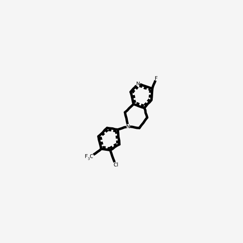 Fc1cc2c(cn1)CN(c1ccc(C(F)(F)F)c(Cl)c1)CC2